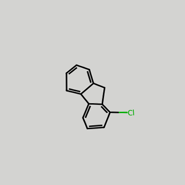 Clc1cccc2c1Cc1ccccc1-2